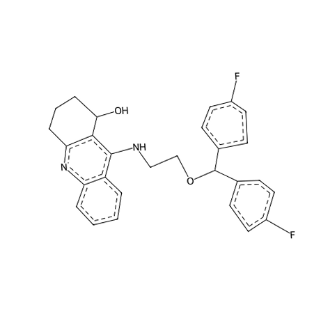 OC1CCCc2nc3ccccc3c(NCCOC(c3ccc(F)cc3)c3ccc(F)cc3)c21